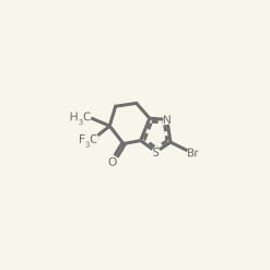 CC1(C(F)(F)F)CCc2nc(Br)sc2C1=O